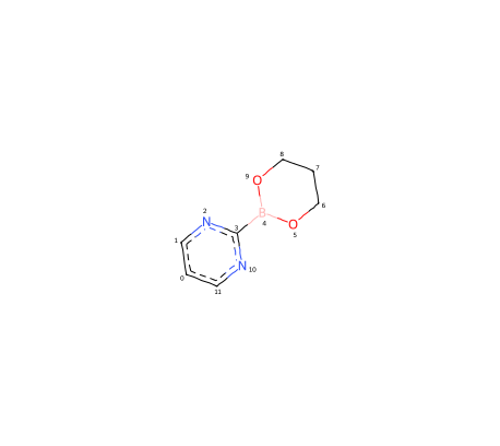 c1cnc(B2OCCCO2)nc1